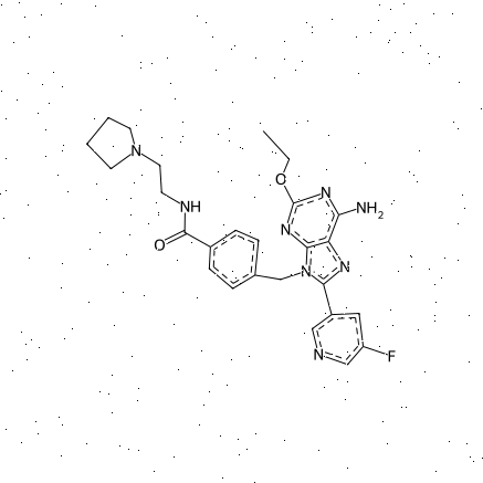 CCOc1nc(N)c2nc(-c3cncc(F)c3)n(Cc3ccc(C(=O)NCCN4CCCC4)cc3)c2n1